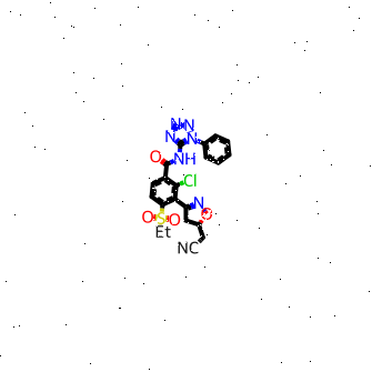 CCS(=O)(=O)c1ccc(C(=O)Nc2nnnn2-c2ccccc2)c(Cl)c1C1=NOC(CC#N)C1